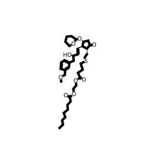 CCCCCCCCC(=O)OCCOC(=O)CCCSCC[C@H]1C(=O)C[C@@H](OC2CCCCO2)[C@@H]1/C=C/[C@@H](O)Cc1cccc(COC)c1